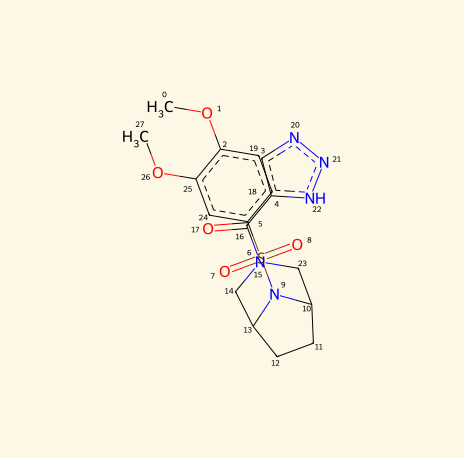 COc1ccc(S(=O)(=O)N2C3CCC2CN(C(=O)c2cnn[nH]2)C3)cc1OC